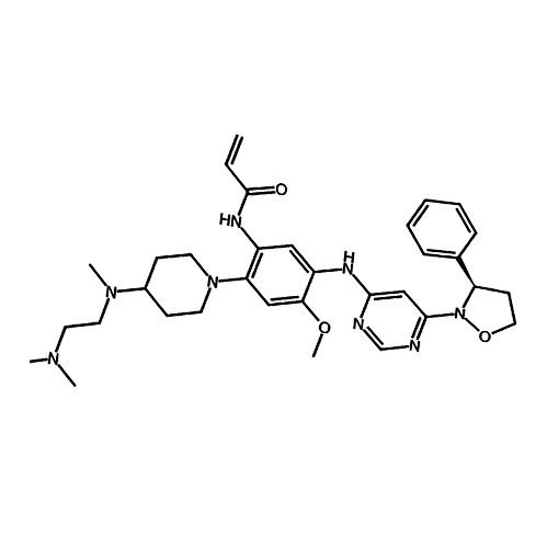 C=CC(=O)Nc1cc(Nc2cc(N3OCC[C@@H]3c3ccccc3)ncn2)c(OC)cc1N1CCC(N(C)CCN(C)C)CC1